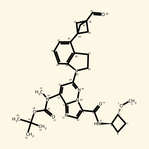 CO[C@@H]1CC[C@H]1NC(=O)c1cnc2c(N(C)C(=O)OC(C)(C)C)cc(N3CCc4c3cccc4C34CC(C=O)(C3)C4)nn12